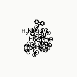 COC(=O)CCC(CCC(=O)OC)(CCC(=O)OC)NC(=O)CCC(CCC(=O)NC(CCC(=O)OC)(CCC(=O)OC)CCC(=O)OC)(CCC(=O)NC(CCC(=O)OC)(CCC(=O)OC)CCC(=O)OC)NC(=O)c1ccc(N)c(NC(=O)OCC2c3ccccc3-c3ccccc32)c1